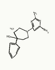 Cl.Nc1cc(N2CCC(O)(c3ccccc3)CC2)nc(N)n1